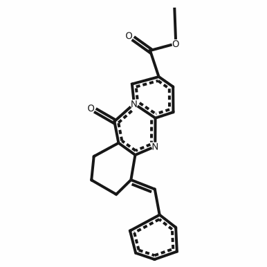 COC(=O)c1ccc2nc3c(c(=O)n2c1)CCCC3=Cc1ccccc1